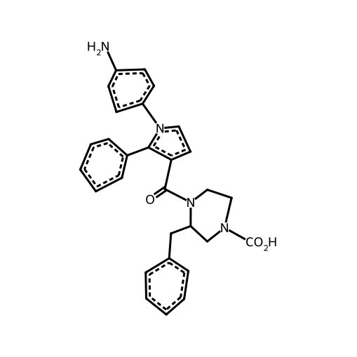 Nc1ccc(-n2ccc(C(=O)N3CCN(C(=O)O)CC3Cc3ccccc3)c2-c2ccccc2)cc1